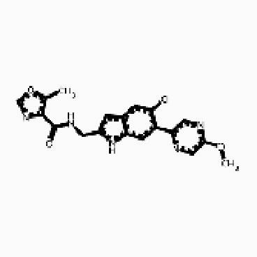 COc1cnc(-c2cc3[nH]c(CNC(=O)c4ncoc4C)cc3cc2Cl)cn1